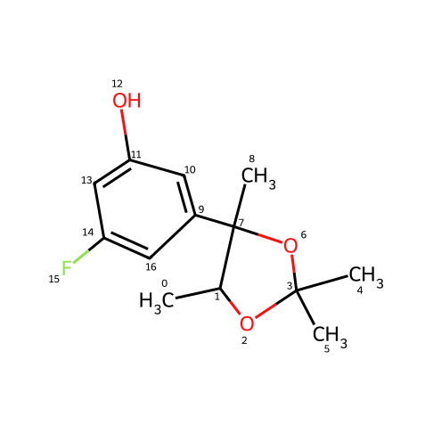 CC1OC(C)(C)OC1(C)c1cc(O)cc(F)c1